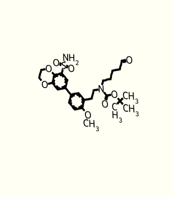 COc1ccc(-c2cc3c(c(S(N)(=O)=O)c2)OCCO3)cc1CCN(CCCCC=O)C(=O)OC(C)(C)C